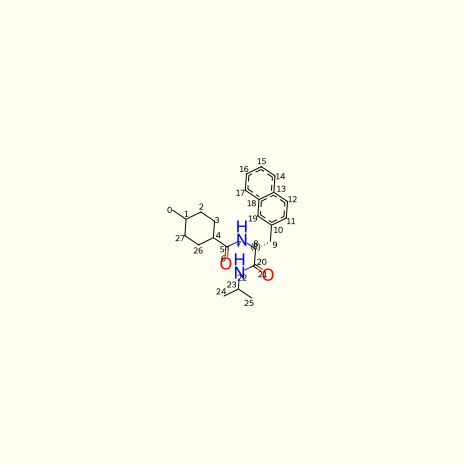 CC1CCC(C(=O)N[C@H](Cc2ccc3ccccc3c2)C(=O)NC(C)C)CC1